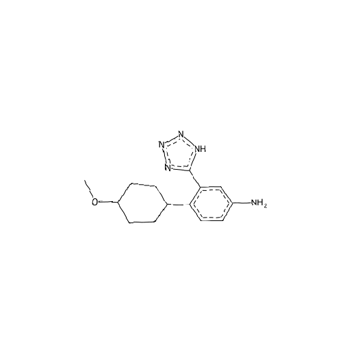 COC1CCC(c2ccc(N)cc2-c2nnn[nH]2)CC1